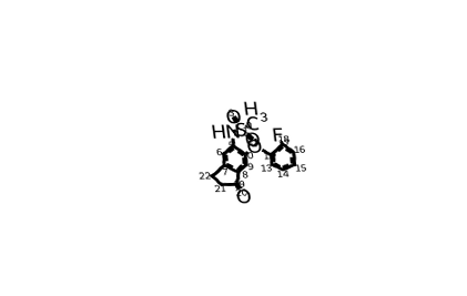 CS(=O)(=O)Nc1cc2c(cc1Oc1ccccc1F)C(=O)CC2